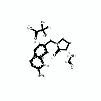 Nc1ccc2ccc(CN3CC[C@H](NC=O)C3=O)cc2n1.O=C(O)C(F)(F)F